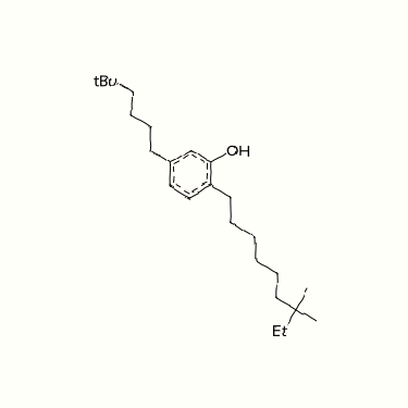 CCC(C)(C)CCCCCCc1ccc(CCCCC(C)(C)C)cc1O